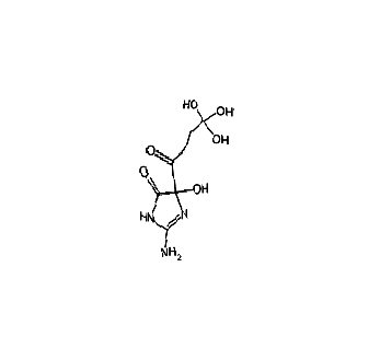 NC1=NC(O)(C(=O)CCC(O)(O)O)C(=O)N1